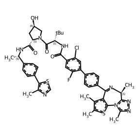 Cc1ncsc1-c1ccc([C@H](C)NC(=O)[C@@H]2C[C@@H](O)CN2C(=O)[C@@H](NC(=O)c2cc(F)c(-c3ccc(C4=N[C@@H](C)c5nnc(C)n5-c5sc(C)c(C)c54)cc3)cc2Cl)C(C)(C)C)cc1